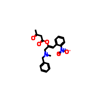 CC(=O)CC(=O)OC(=Cc1ccccc1[N+](=O)[O-])CN(C)Cc1ccccc1